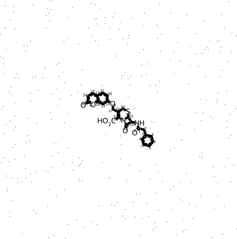 O=C(Cc1ccccc1)NC1C(=O)N2C(C(=O)O)=C(COc3ccc4ccc(=O)oc4c3)CSC12